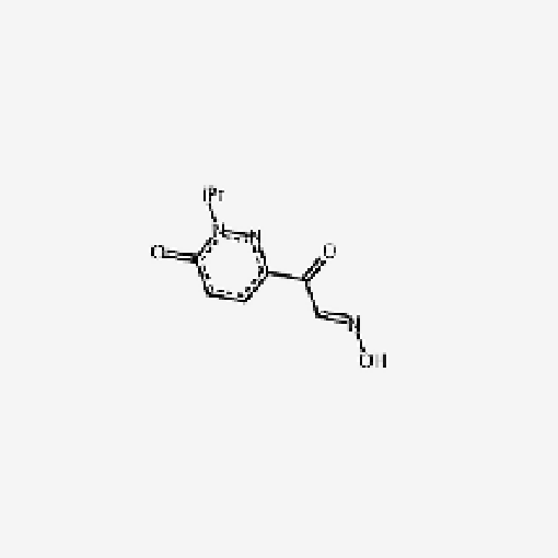 CC(C)n1nc(C(=O)C=NO)ccc1=O